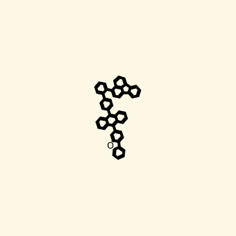 c1ccc(-c2ccc3c4c(cccc24)-c2ccccc2-3)c(-c2ccc(-c3c4ccccc4c(-c4ccc5c(c4)oc4ccccc45)c4ccccc34)cc2)c1